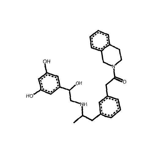 CC(Cc1cccc(CC(=O)N2CCc3ccccc3C2)c1)NCC(O)c1cc(O)cc(O)c1